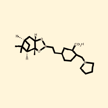 CC1(C)[C@H]2C[C@@H]3OB(CCC4CCC(CN5CCCC5)C(C(=O)O)C4)O[C@]3(C)[C@@H]1C2